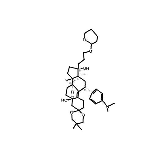 CN(C)c1ccc([C@H]2C[C@@]3(C)[C@@H](CC[C@@]3(O)CCCOC3CCCCO3)[C@@H]3CC[C@@]4(O)CC5(CCC4=C32)OCC(C)(C)CO5)cc1